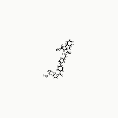 CN(C)[C@@H]1CCN(C(=O)c2ccc(-c3csc(CNC(=O)C4(CC(=O)O)Cc5ccccc5C4)n3)cc2)C1